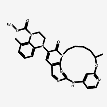 Cc1cccc2c1N(C(=O)OC(C)(C)C)CCN2c1cc2cnc3nc2n(c1=O)CCCCC(C)Oc1cc(ccn1)N3